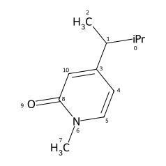 CC(C)C(C)c1ccn(C)c(=O)c1